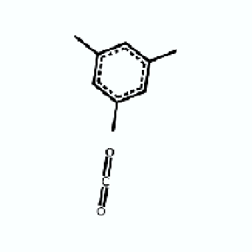 Cc1cc(C)cc(C)c1.O=C=O